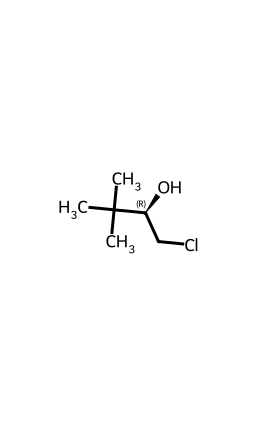 CC(C)(C)[C@@H](O)CCl